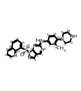 Cc1cc(Nc2ncc3cnn(S(=O)(=O)c4cccc5cccnc45)c3n2)ccc1N1CCNCC1